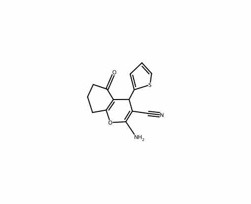 N#CC1=C(N)OC2=C(C(=O)CCC2)C1c1cccs1